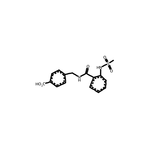 CS(=O)(=O)Nc1ccccc1C(=O)NCc1ccc(C(=O)O)cc1